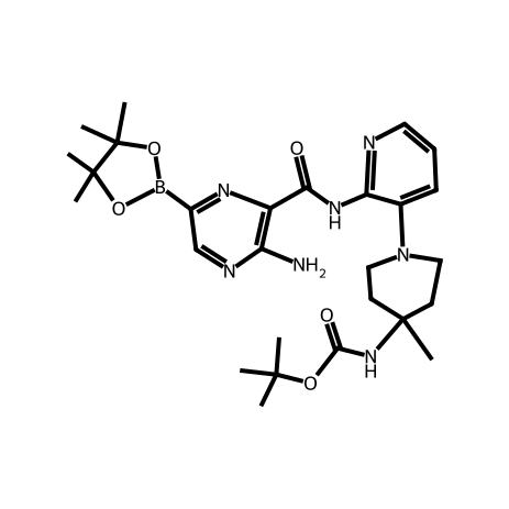 CC1(NC(=O)OC(C)(C)C)CCN(c2cccnc2NC(=O)c2nc(B3OC(C)(C)C(C)(C)O3)cnc2N)CC1